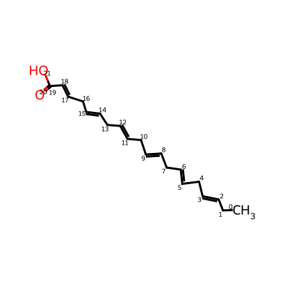 CCC=CCC=CCC=CCC=CCC=CCC=CC(=O)O